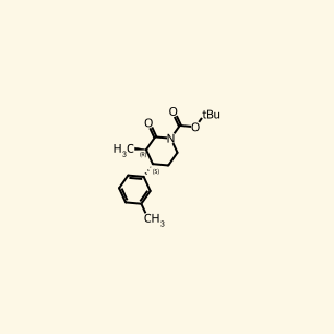 Cc1cccc([C@H]2CCN(C(=O)OC(C)(C)C)C(=O)[C@@H]2C)c1